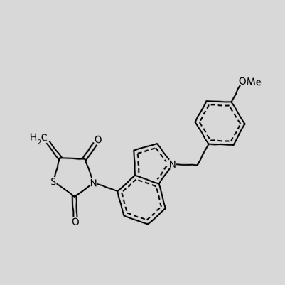 C=C1SC(=O)N(c2cccc3c2ccn3Cc2ccc(OC)cc2)C1=O